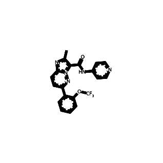 Cc1nc2ccc(-c3ccccc3OC(F)(F)F)nn2c1C(=O)Nc1ccncc1